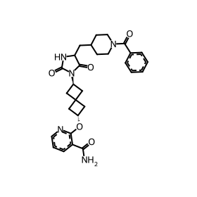 NC(=O)c1cccnc1O[C@H]1CC2(C1)C[C@H](N1C(=O)NC(CC3CCN(C(=O)c4ccccc4)CC3)C1=O)C2